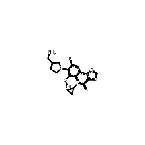 COc1c(N2CCC(CN)C2)c(F)cc2c3ocnc3c(=O)n(C3CC3)c12